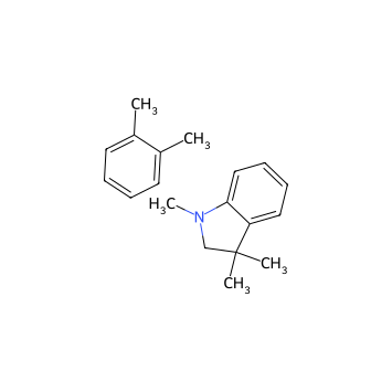 CN1CC(C)(C)c2ccccc21.Cc1ccccc1C